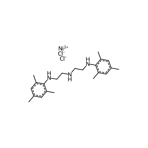 Cc1cc(C)c(NCCNCCNc2c(C)cc(C)cc2C)c(C)c1.[Cl-].[Cl-].[Ni+2]